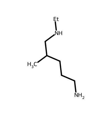 CCNCC(C)CCCN